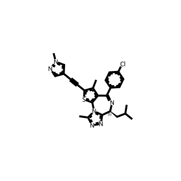 Cc1c(C#Cc2cnn(C)c2)sc2c1C(c1ccc(Cl)cc1)=N[C@@H](CC(C)C)c1nnc(C)n1-2